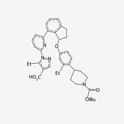 CCc1cc(OC2CCc3cccc(-c4cccc(-n5ncc(C(=O)O)c5CC)n4)c32)ccc1C1CCN(C(=O)OCC(C)C)CC1